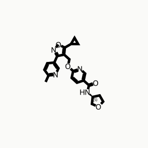 Cc1ccc(-c2noc(C3CC3)c2COc2ccc(C(=O)N[C@H]3CCOC3)cn2)cn1